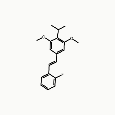 COc1cc(C=Cc2ccccc2F)cc(OC)c1C(C)C